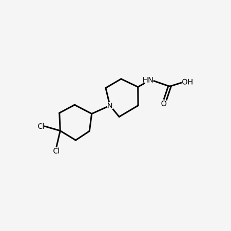 O=C(O)NC1CCN(C2CCC(Cl)(Cl)CC2)CC1